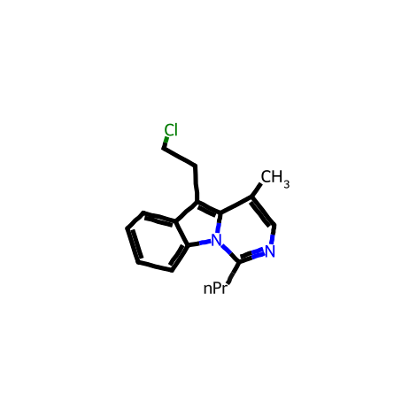 CCCc1ncc(C)c2c(CCCl)c3ccccc3n12